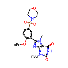 CCCCn1c(=O)[nH]c(=O)c2c1nc(-c1cc(S(=O)(=O)N3CCOCC3)ccc1OCCC)n2C